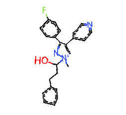 C[N+]1(C(O)CCc2ccccc2)C=C(c2ccncc2)C(c2ccc(F)cc2)=N1